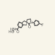 O=C(NO)c1ccc2c(c1)C[C@]1(CCN(c3ccc(F)cc3)C1=O)C2